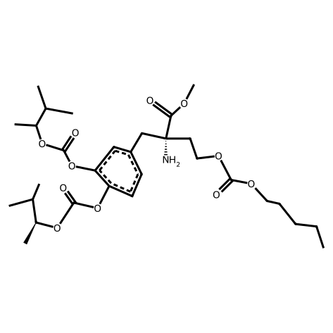 CCCCCOC(=O)OCC[C@@](N)(Cc1ccc(OC(=O)O[C@@H](C)C(C)C)c(OC(=O)OC(C)C(C)C)c1)C(=O)OC